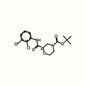 CC(C)(C)OC(=O)N1CCO[C@@H](C(=O)Nc2cccc(Cl)c2Cl)C1